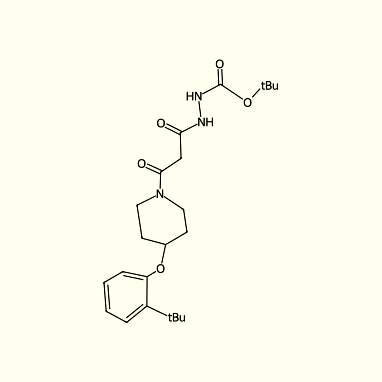 CC(C)(C)OC(=O)NNC(=O)CC(=O)N1CCC(Oc2ccccc2C(C)(C)C)CC1